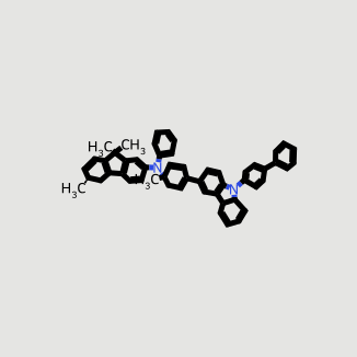 C[C@@H]1C=CC2=C(C1)c1ccc(N(c3ccccc3)C3(C)C=CC(c4ccc5c(c4)C4C=CC=CC4N5c4ccc(-c5ccccc5)cc4)=CC3)cc1C2(C)C